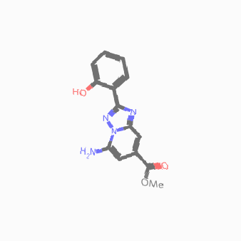 COC(=O)c1cc(N)n2nc(-c3ccccc3O)nc2c1